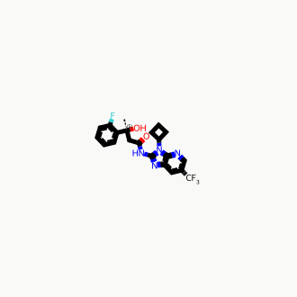 C[C@](O)(CC(=O)Nc1nc2cc(C(F)(F)F)cnc2n1C1CCC1)c1ccccc1F